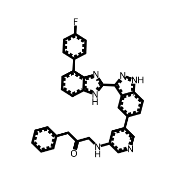 O=C(CNc1cncc(-c2ccc3[nH]nc(-c4nc5c(-c6ccc(F)cc6)cccc5[nH]4)c3c2)c1)Cc1ccccc1